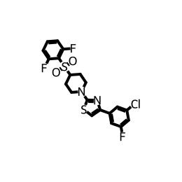 O=S(=O)(c1c(F)cccc1F)C1CCN(c2nc(-c3cc(F)cc(Cl)c3)cs2)CC1